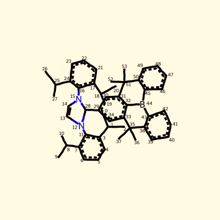 CC(C)c1cccc(C(C)C)c1N1C=CN(c2c(C(C)C)cccc2C(C)C)C1c1cc2c3c(c1)C(C)(C)c1ccccc1B3c1ccccc1C2(C)C